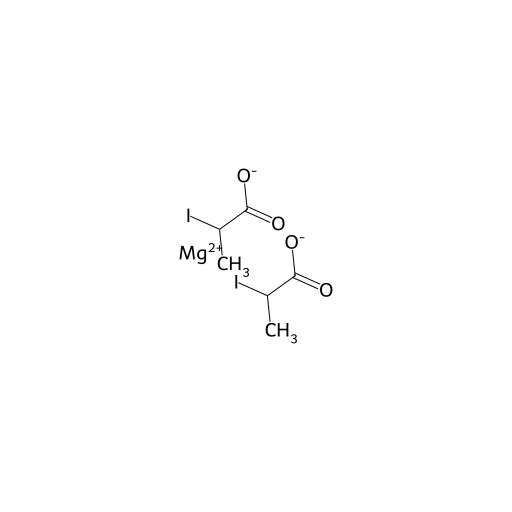 CC(I)C(=O)[O-].CC(I)C(=O)[O-].[Mg+2]